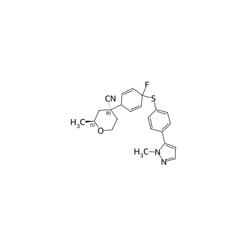 C[C@H]1C[C@@](C#N)(C2C=CC(F)(Sc3ccc(-c4ccnn4C)cc3)C=C2)CCO1